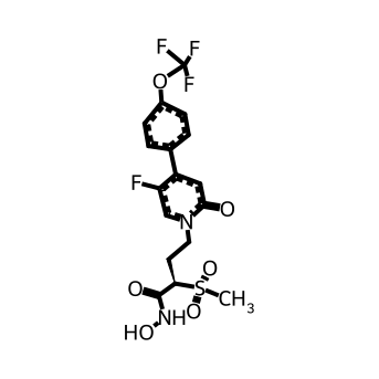 CS(=O)(=O)[C@H](CCn1cc(F)c(-c2ccc(OC(F)(F)F)cc2)cc1=O)C(=O)NO